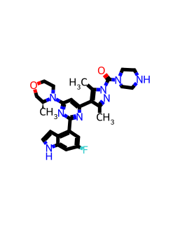 Cc1nn(C(=O)N2CCNCC2)c(C)c1-c1cc(N2CCOC[C@H]2C)nc(-c2cc(F)cc3[nH]ccc23)n1